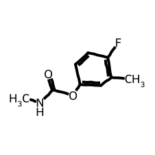 CNC(=O)Oc1ccc(F)c(C)c1